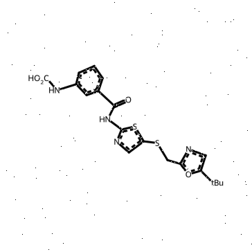 CC(C)(C)c1cnc(CSc2cnc(NC(=O)c3cccc(NC(=O)O)c3)s2)o1